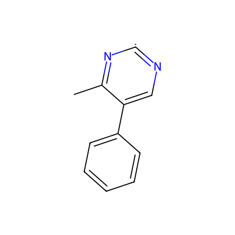 Cc1n[c]ncc1-c1ccccc1